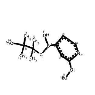 CC(C)(C)Oc1cc(B(O)OC(C)(C)C(C)(C)O)ccn1